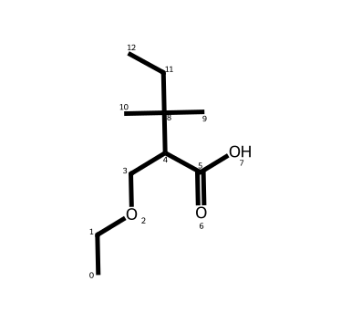 CCOCC(C(=O)O)C(C)(C)CC